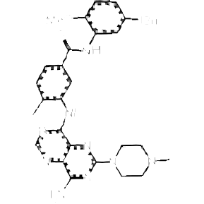 COc1ccc(C(C)(C)C)cc1NC(=O)c1ccc(C)c(Nc2ncnc3c(N)nc(N4CCN(C)CC4)nc23)c1